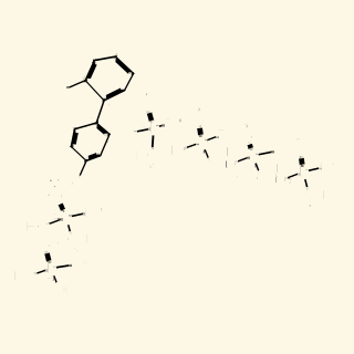 COc1ccc(-c2ccccc2I)cc1.O=P(O)(O)F.O=P(O)(O)F.O=P(O)(O)F.O=P(O)(O)F.O=P(O)(O)F.O=P(O)(O)F